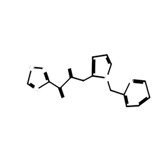 O=C(Cc1cccn1Cc1ccccn1)C(=O)c1nc[nH]n1